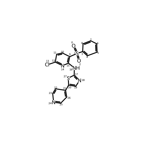 O=S(=O)(c1ccccc1)c1ccc(Cl)nc1Nc1ncc(-c2ccncc2)s1